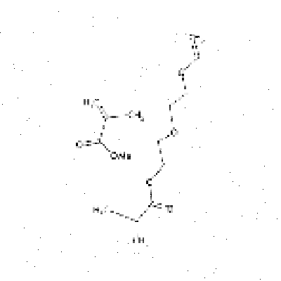 C=C(C)C(=O)OC.C=COCCOCCOC(=O)C(=C)C